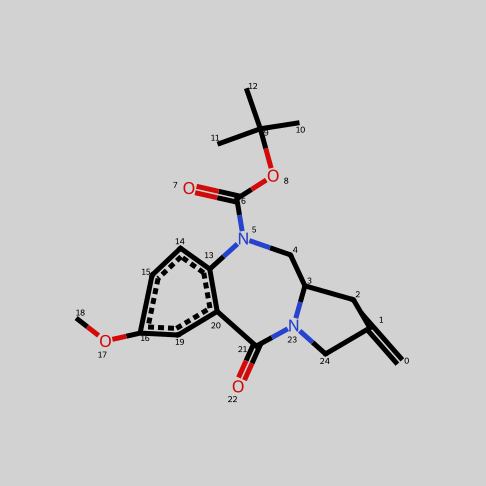 C=C1CC2CN(C(=O)OC(C)(C)C)c3ccc(OC)cc3C(=O)N2C1